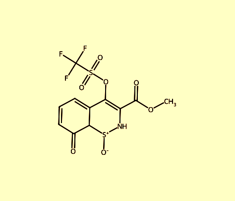 COC(=O)C1=C(OS(=O)(=O)C(F)(F)F)C2=CC=CC(=O)C2[S+]([O-])N1